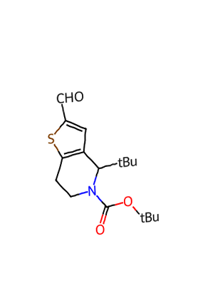 CC(C)(C)OC(=O)N1CCc2sc(C=O)cc2C1C(C)(C)C